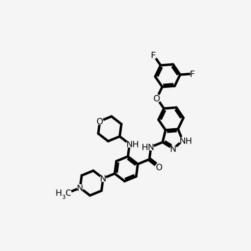 CN1CCN(c2ccc(C(=O)Nc3n[nH]c4ccc(Oc5cc(F)cc(F)c5)cc34)c(NC3CCOCC3)c2)CC1